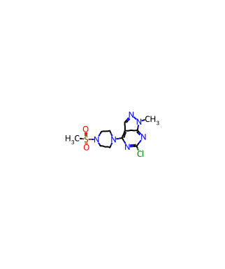 Cn1ncc2c(N3CCN(S(C)(=O)=O)CC3)nc(Cl)nc21